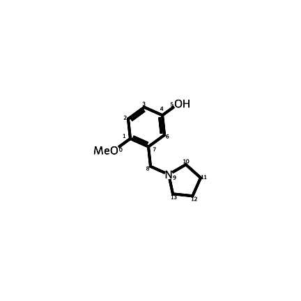 COc1ccc(O)cc1CN1CCCC1